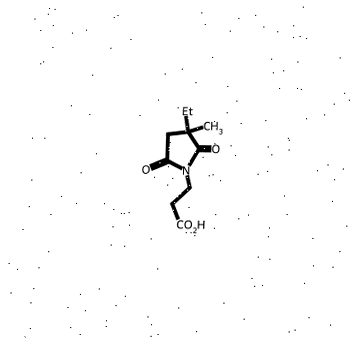 CCC1(C)CC(=O)N(CCC(=O)O)C1=O